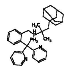 CC(C)(CC12CC3CC(CC(C3)C1)C2)PCc1ccccc1C(P)(c1ccccn1)c1ccccn1